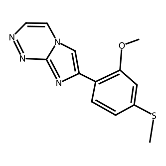 COc1cc(SC)ccc1-c1cn2ccnnc2n1